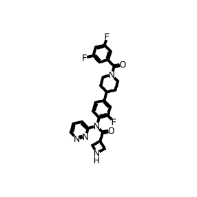 O=C(c1cc(F)cc(F)c1)N1CCC(c2ccc(N(C(=O)C3CNC3)c3cccnn3)c(F)c2)CC1